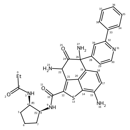 CCC(=O)N[C@@H]1CCC[C@@H]1NC(=O)c1sc2c(N)ccc3c2c1C(N)C(=O)C3(N)c1ccnc(-c2ccccc2)c1